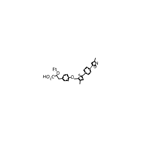 CCOC(Cc1ccc(OCc2sc(-c3ccc(-c4cc(C)no4)cc3)cc2C)cc1)C(=O)O